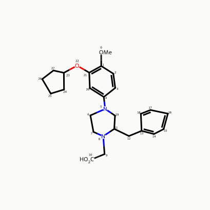 COc1ccc(N2CCN(CC(=O)O)C(Cc3ccccc3)C2)cc1OC1CCCC1